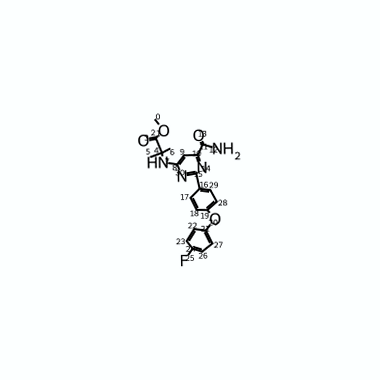 COC(=O)C(C)(C)Nc1cc(C(N)=O)nc(-c2ccc(Oc3ccc(F)cc3)cc2)n1